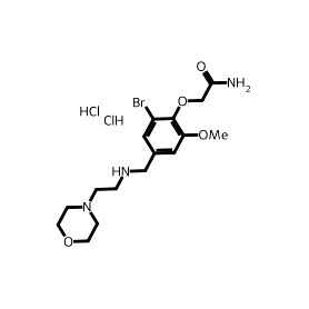 COc1cc(CNCCN2CCOCC2)cc(Br)c1OCC(N)=O.Cl.Cl